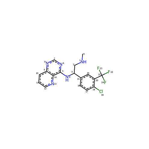 CNCC(Nc1ncnc2cccnc12)c1ccc(Cl)c(C(F)(F)F)c1